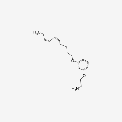 CC/C=C\C=C/CCCCOc1cccc(OCCN)c1